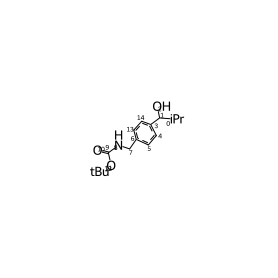 CC(C)C(O)c1ccc(CNC(=O)OC(C)(C)C)cc1